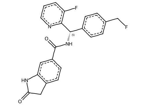 O=C1Cc2ccc(C(=O)N[C@@H](c3ccc(CF)cc3)c3ncccc3F)cc2N1